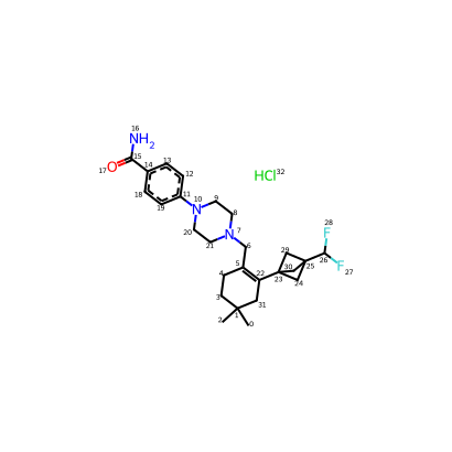 CC1(C)CCC(CN2CCN(c3ccc(C(N)=O)cc3)CC2)=C(C23CC(C(F)F)(C2)C3)C1.Cl